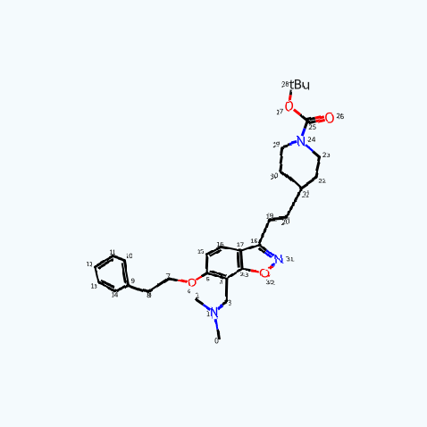 CN(C)Cc1c(OCCc2ccccc2)ccc2c(CCC3CCN(C(=O)OC(C)(C)C)CC3)noc12